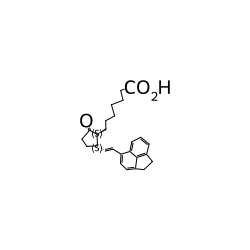 O=C(O)CCCCCC[C@@H]1C(=O)CC[C@H]1C=Cc1ccc2c3c(cccc13)CC2